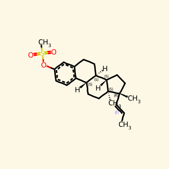 C/C=C/[C@@]1(C)CC[C@H]2[C@@H]3CCc4cc(OS(C)(=O)=O)ccc4[C@H]3CC[C@@]21C